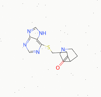 O=C1C2CCN(CC2)C1CSc1ncnc2nc[nH]c12